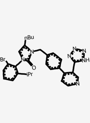 CCCCc1cn(-c2c(Br)cccc2C(C)C)c(=O)n1Cc1ccc(-c2ccncc2-c2nnn[nH]2)cc1